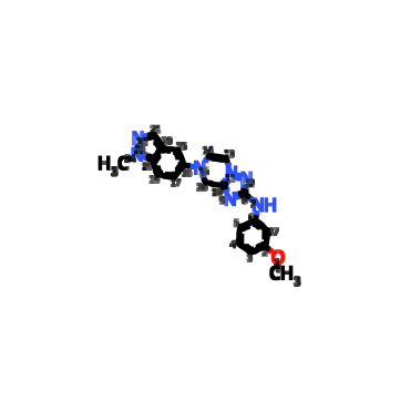 COc1cccc(Nc2nc3n(n2)C=CN(c2ccc4c(cnn4C)c2)C3)c1